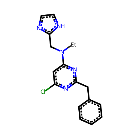 CCN(Cc1ncc[nH]1)c1cc(Cl)nc(Cc2ccccc2)n1